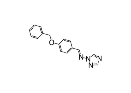 C(=Nn1cncn1)c1ccc(OCc2ccccc2)cc1